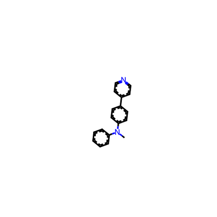 CN(c1ccccc1)c1ccc(-c2ccncc2)cc1